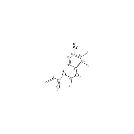 C=CC(=O)OC(C)Oc1ccc(C(C)=O)c(C)c1C